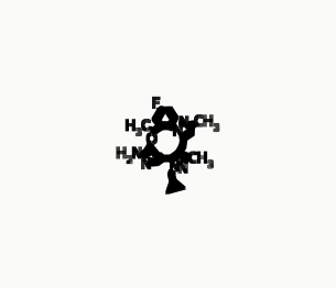 Cc1cc2n(n1)-c1ccc(F)cc1[C@@H](C)Oc1cc(cnc1N)-c1c(c(C)nn1CC1CC1)C2